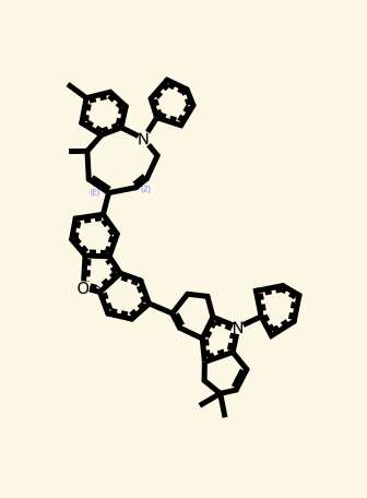 Cc1ccc2c(c1)C(C)/C=C(c1ccc3oc4ccc(C5=Cc6c7c(n(-c8ccccc8)c6CC5)C=CC(C)(C)C7)cc4c3c1)\C=C/CN2c1ccccc1